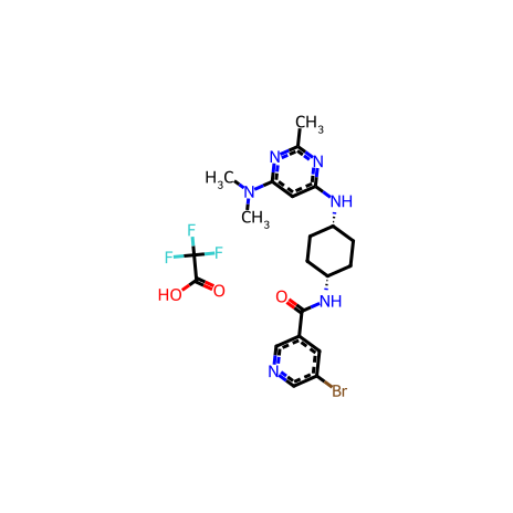 Cc1nc(N[C@H]2CC[C@@H](NC(=O)c3cncc(Br)c3)CC2)cc(N(C)C)n1.O=C(O)C(F)(F)F